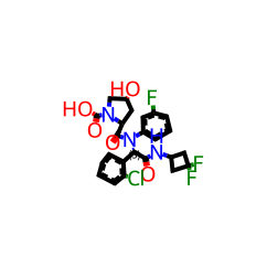 O=C(NC1CC(F)(F)C1)[C@H](c1ccccc1Cl)N(C(=O)C1CC(O)CN1C(=O)O)c1cccc(F)c1